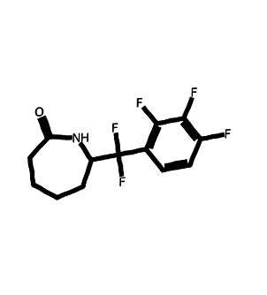 O=C1CCCCC(C(F)(F)c2ccc(F)c(F)c2F)N1